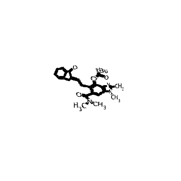 Cc1nc2c(OC(=O)C(C)(C)C)c(C/C=C3\Cc4ccccc4C3=O)c(C(=O)N(C)C)cc2n1C